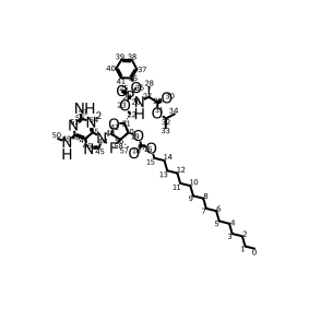 CCCCCCCCCCCCCCCCOC(=O)O[C@@H]1[C@@H](COP(=O)(N[C@@H](C)C(=O)OC(C)C)Oc2ccccc2)O[C@@H](n2cnc3c(NC)nc(N)nc32)[C@]1(C)F